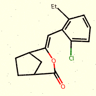 CCc1cccc(Cl)c1/C=C1\OC(=O)C2CCC1C2